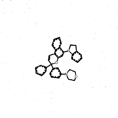 C1=CC(c2ccccc2)(c2cccc(N3CCOCC3)c2)Oc2cc(N3CCc4ccccc43)c3ccccc3c21